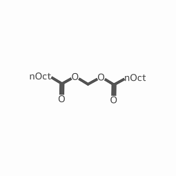 CCCCCCCCC(=O)OCOC(=O)CCCCCCCC